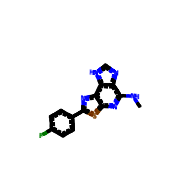 CNc1nc2sc(-c3ccc(F)cc3)nc2c2[nH]cnc12